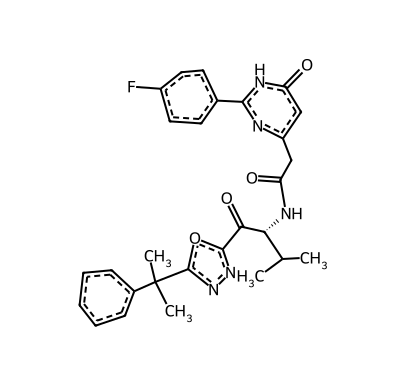 CC(C)[C@@H](NC(=O)Cc1cc(=O)[nH]c(-c2ccc(F)cc2)n1)C(=O)c1nnc(C(C)(C)c2ccccc2)o1